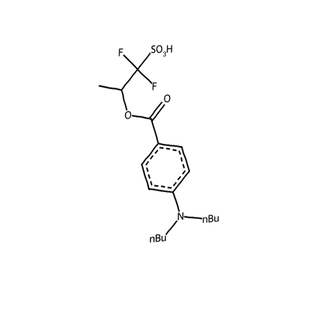 CCCCN(CCCC)c1ccc(C(=O)OC(C)C(F)(F)S(=O)(=O)O)cc1